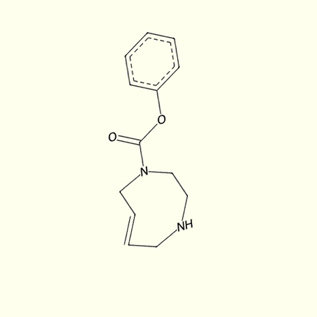 O=C(Oc1ccccc1)N1C/C=C/CNCC1